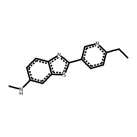 CCc1ccc(-c2nc3ccc(NC)cc3s2)cn1